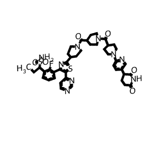 CCC(c1cccc(-c2nc(C3CCN(C(=O)C4CCN(C(=O)C5CCN(c6ccc(C7CCC(=O)NC7=O)cn6)CC5)CC4)CC3)sc2-c2ccncn2)c1F)S(N)(=O)=O